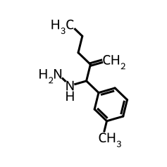 C=C(CCC)C(NN)c1cccc(C)c1